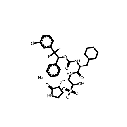 O=C(N[C@@H](CC1CCCCC1)C(=O)N[C@@H](C[C@@H]1CCNC1=O)C(O)S(=O)(=O)[O-])O[C@@H](c1ccccc1)C(F)(F)c1cccc(Cl)c1.[Na+]